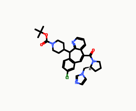 CC(C)(C)OC(=O)N1CCC(C2c3ccc(Cl)cc3C=C(C(=O)N3CCC[C@@H]3Cn3ccnc3)c3cccnc32)CC1